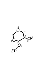 CCOC1OCOCC1C#N